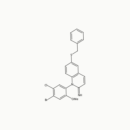 COc1cc(Br)c(Cl)cc1-n1c(=N)ccc2cc(SCc3ccccc3)ccc21